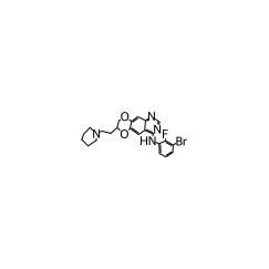 Fc1c(Br)cccc1Nc1ncnc2cc3c(cc12)OC(CCN1CCCCC1)CO3